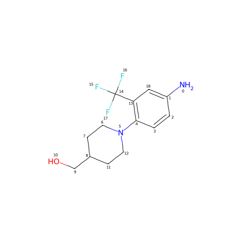 Nc1ccc(N2CCC(CO)CC2)c(C(F)(F)F)c1